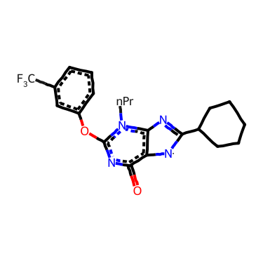 CCCn1c(Oc2cccc(C(F)(F)F)c2)nc(=O)c2c1N=C(C1CCCCC1)[N]2